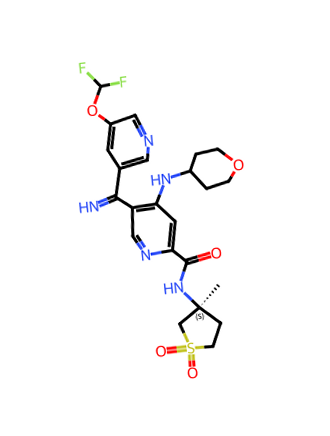 C[C@]1(NC(=O)c2cc(NC3CCOCC3)c(C(=N)c3cncc(OC(F)F)c3)cn2)CCS(=O)(=O)C1